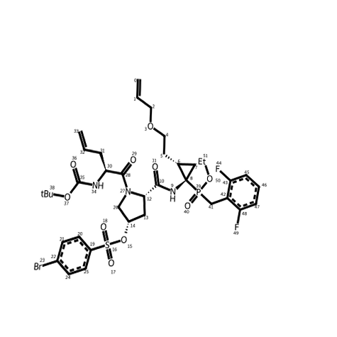 C=CCOCC[C@@H]1C[C@]1(NC(=O)[C@@H]1C[C@H](OS(=O)(=O)c2ccc(Br)cc2)CN1C(=O)[C@H](CC=C)NC(=O)OC(C)(C)C)P(=O)(Cc1c(F)cccc1F)OCC